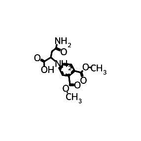 COC(=O)c1ccccc1C(=O)OC.NC(=O)CC(N)C(=O)O